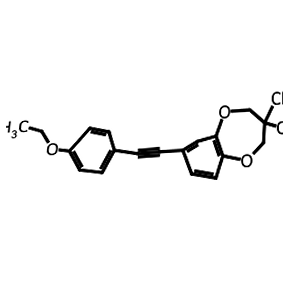 CCOc1ccc(C#Cc2ccc3c(c2)OCC(C)(C)CO3)cc1